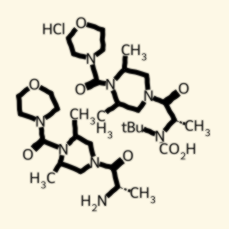 CC1CN(C(=O)[C@H](C)N(C(=O)O)C(C)(C)C)CC(C)N1C(=O)N1CCOCC1.CC1CN(C(=O)[C@H](C)N)CC(C)N1C(=O)N1CCOCC1.Cl